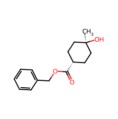 C[C@]1(O)CC[C@H](C(=O)OCc2ccccc2)CC1